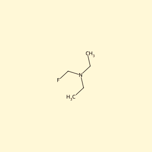 CCN(CC)CF